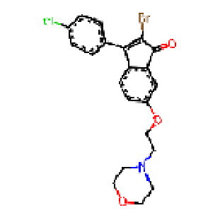 O=C1C(Br)=C(c2ccc(Cl)cc2)c2ccc(OCCN3CCOCC3)cc21